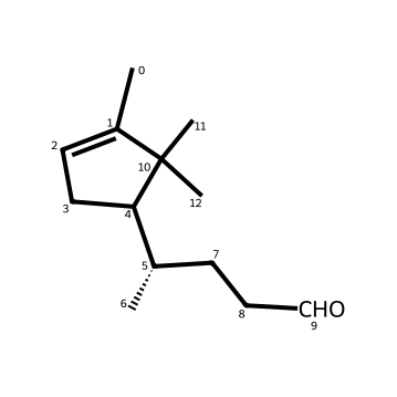 CC1=CCC([C@@H](C)CCC=O)C1(C)C